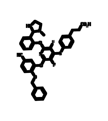 CN1CCNC1c1ccccc1Oc1nc(Oc2cc(C#N)ccc2OCc2ccccc2)c(F)c(Sc2ccc(CCC(=O)O)cc2)c1F